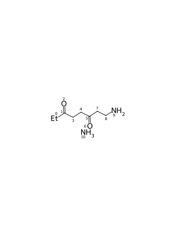 CCC(=O)CCC(=O)CCN.N